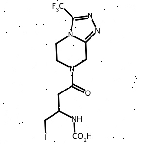 O=C(O)NC(CI)CC(=O)N1CCn2c(nnc2C(F)(F)F)C1